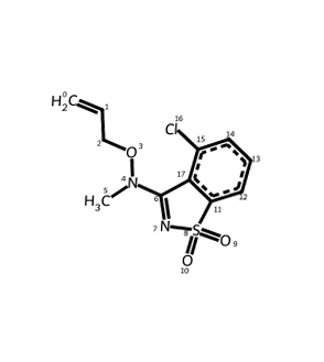 C=CCON(C)C1=NS(=O)(=O)c2cccc(Cl)c21